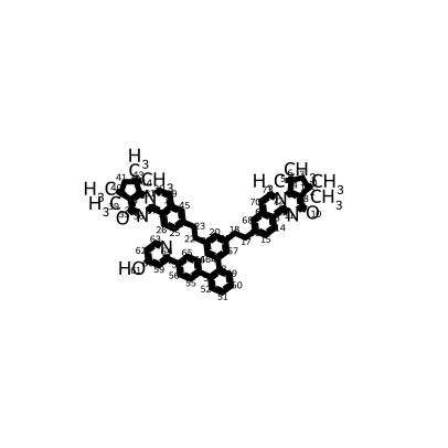 CC1(C)CC(C)(C)c2c1c(=O)nc1c3ccc(CCc4cc(CCc5ccc6c(ccn7c8c(c(=O)nc67)C(C)(C)CC8(C)C)c5)cc(-c5ccccc5-c5ccc(-c6cc(O)ccn6)cc5)c4)cc3ccn21